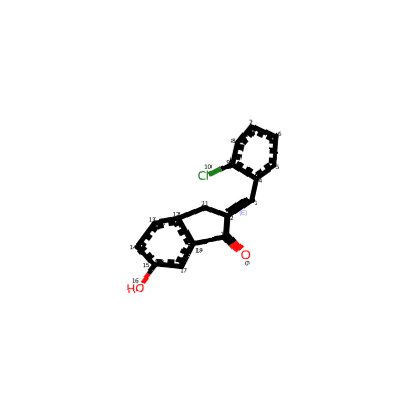 O=C1/C(=C/c2ccccc2Cl)Cc2ccc(O)cc21